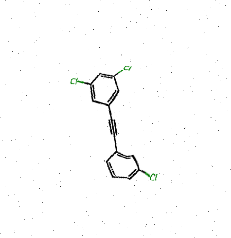 Clc1cc[c]c(C#Cc2cc(Cl)cc(Cl)c2)c1